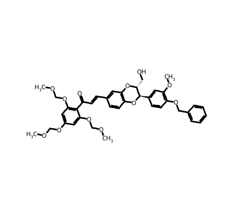 COCOc1cc(OCOC)c(C(=O)/C=C/c2ccc3c(c2)O[C@H](CO)[C@@H](c2ccc(OCc4ccccc4)c(OC)c2)O3)c(OCOC)c1